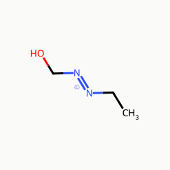 CC/N=N/CO